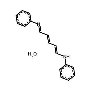 C(=CC=Nc1ccccc1)C=CNc1ccccc1.O